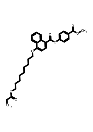 CCC(=O)OCCCCCCCCCOc1ccc(C(=O)Oc2ccc(C(=O)OC)cc2)c2ccccc12